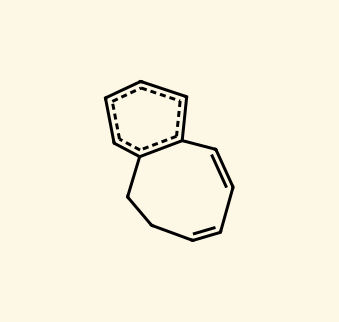 C1=CCCc2ccccc2C=C1